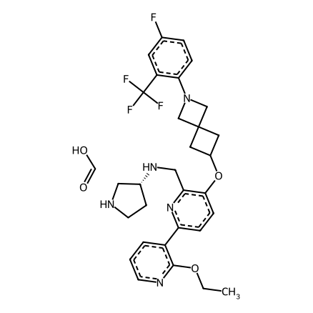 CCOc1ncccc1-c1ccc(OC2CC3(C2)CN(c2ccc(F)cc2C(F)(F)F)C3)c(CN[C@@H]2CCNC2)n1.O=CO